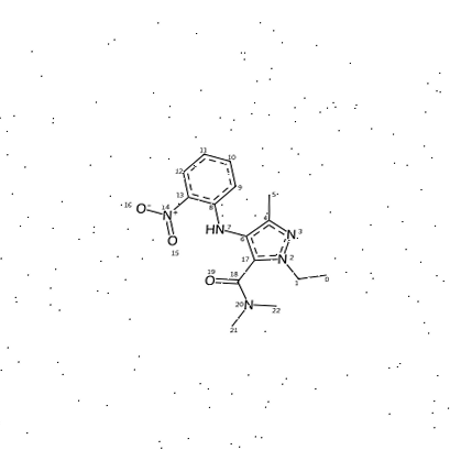 CCn1nc(C)c(Nc2ccccc2[N+](=O)[O-])c1C(=O)N(C)C